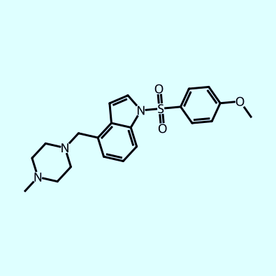 COc1ccc(S(=O)(=O)n2ccc3c(CN4CCN(C)CC4)cccc32)cc1